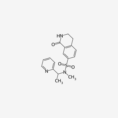 CC(c1ccccn1)N(C)S(=O)(=O)c1ccc2c(c1)C(=O)NCC2